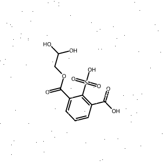 O=C(O)c1cccc(C(=O)OCC(O)O)c1S(=O)(=O)O